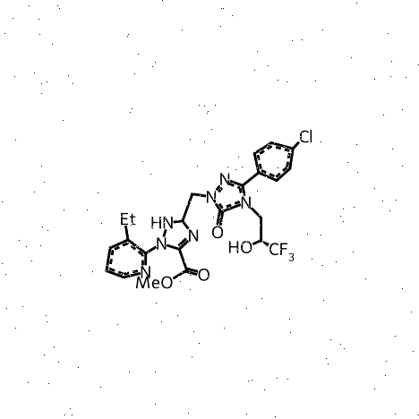 CCc1cccnc1N1NC(Cn2nc(-c3ccc(Cl)cc3)n(C[C@H](O)C(F)(F)F)c2=O)N=C1C(=O)OC